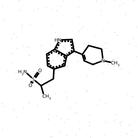 CC(Cc1ccc2[nH]cc(C3=CCN(C)CC3)c2c1)S(N)(=O)=O